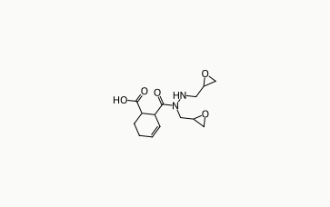 O=C(O)C1CCC=CC1C(=O)N(CC1CO1)NCC1CO1